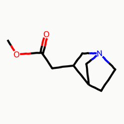 COC(=O)CC1CN2CCC1C2